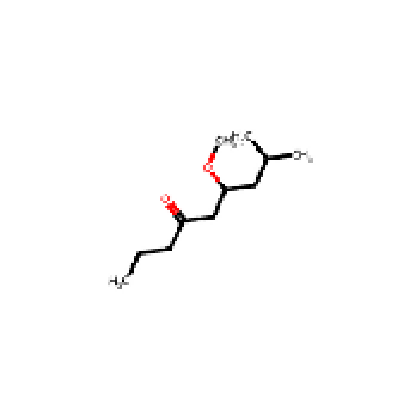 CCCC(=O)CC(CC(C)C)OC